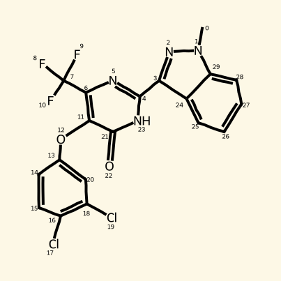 Cn1nc(-c2nc(C(F)(F)F)c(Oc3ccc(Cl)c(Cl)c3)c(=O)[nH]2)c2ccccc21